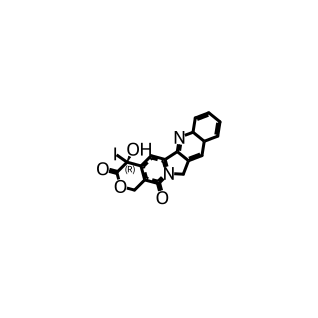 O=C1OCc2c(cc3n(c2=O)CC2=CC4C=CC=CC4N=C23)[C@@]1(O)I